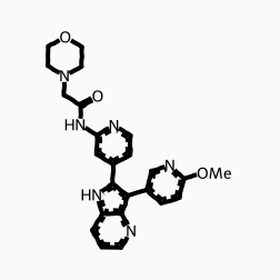 COc1ccc(-c2c(-c3ccnc(NC(=O)CN4CCOCC4)c3)[nH]c3cccnc23)cn1